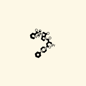 CC(C)CC(CC(=O)N1CCN(c2ccccc2)CC1)C(=O)N1CCC2C1C(=O)CN2S(=O)(=O)C(=O)c1ccccn1